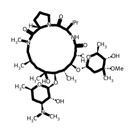 CO[C@]1(C)C[C@H](O[C@H]2[C@H](C)[C@@H](O[C@@H]3O[C@H](C)C[C@H](N(C)C)[C@H]3O)[C@](C)(O)C[C@@H](C)CN(C)C(=O)[C@@H]3CCCN3C(=O)C(C(C)C)NC(=O)[C@@H]2C)O[C@@H](C)[C@@H]1O